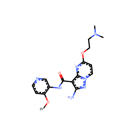 CC(C)Oc1ccncc1NC(=O)c1c(N)nn2ccc(OCCN(C)C)nc12